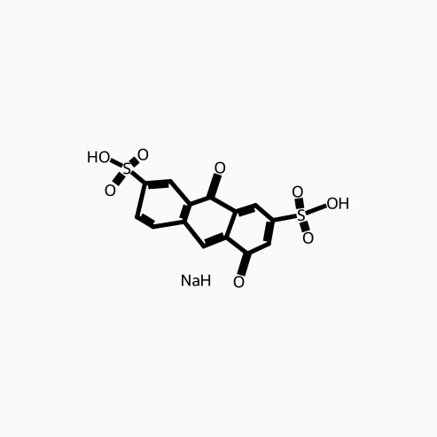 O=C1C=C(S(=O)(=O)O)C=C2C(=O)c3cc(S(=O)(=O)O)ccc3C=C12.[NaH]